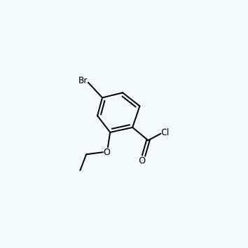 CCOc1cc(Br)ccc1C(=O)Cl